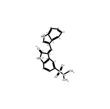 CN(C)S(=O)(=O)c1ccc2c(c1)C(=Cc1c[nH]c3ccccc13)C(=O)N2